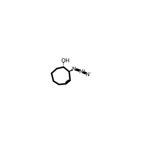 [N-]=[N+]=N[C@H]1/C=C\CCCC[C@@H]1O